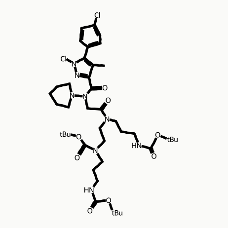 Cc1c(C(=O)N(CC(=O)N(CCCNC(=O)OC(C)(C)C)CCN(CCCNC(=O)OC(C)(C)C)C(=O)OC(C)(C)C)N2CCCCC2)nn(Cl)c1-c1ccc(Cl)cc1